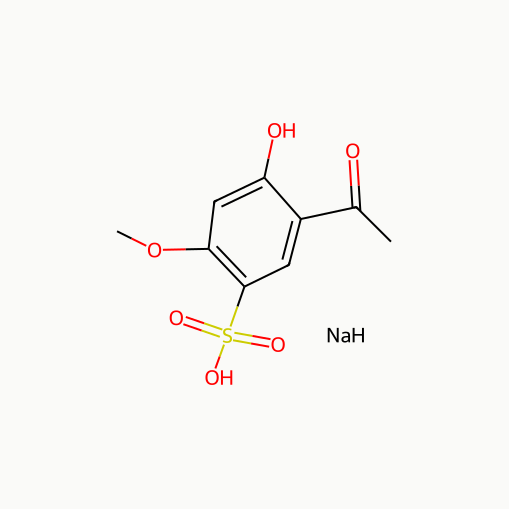 COc1cc(O)c(C(C)=O)cc1S(=O)(=O)O.[NaH]